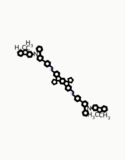 CC1(C)c2ccccc2-c2ccc(-n3c4ccccc4c4cc(-c5ccc(/C=C/c6ccc7c(c6)C6(CCCC6)c6cc8c(cc6-7)C6(CCCC6)c6cc(/C=C/c7ccc(-c9ccc%10c(c9)c9ccccc9n%10-c9ccc%10c(c9)C(C)(C)c9ccccc9-%10)cc7)ccc6-8)cc5)ccc43)cc21